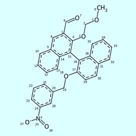 COCOc1c(C=O)cc2ccccc2c1-c1c(OCc2cccc([N+](=O)[O-])c2)ccc2ccccc12